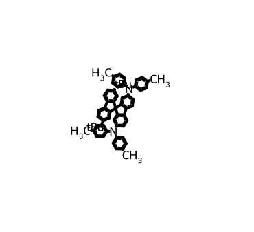 Cc1ccc(N(c2ccc(C)cc2)c2ccc3c(c2)C2(c4cc(N(c5ccc(C)cc5)c5ccc(C)cc5)ccc4-3)c3cc(C(C)(C)C)ccc3-c3ccc(C(C)(C)C)cc32)cc1